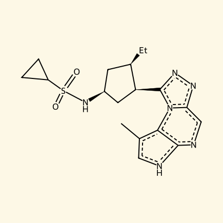 CC[C@@H]1C[C@H](NS(=O)(=O)C2CC2)C[C@@H]1c1nnc2cnc3[nH]cc(C)c3n12